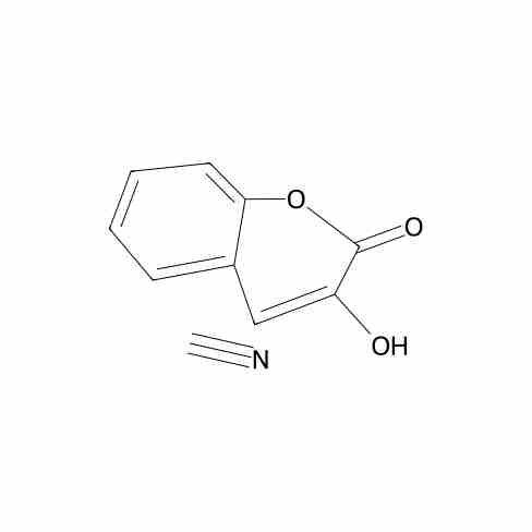 C#N.O=c1oc2ccccc2cc1O